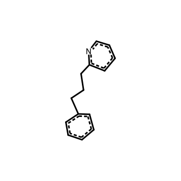 c1ccc(CCCc2ccccn2)cc1